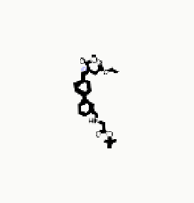 CCOC(=O)C/C(=C\c1ccc(-c2cccc(CNCC(=O)OC(C)(C)C)c2)cc1)C(=O)OC